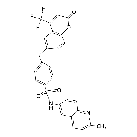 Cc1ccc2cc(NS(=O)(=O)c3ccc(Cc4ccc5oc(=O)cc(C(F)(F)F)c5c4)cc3)ccc2n1